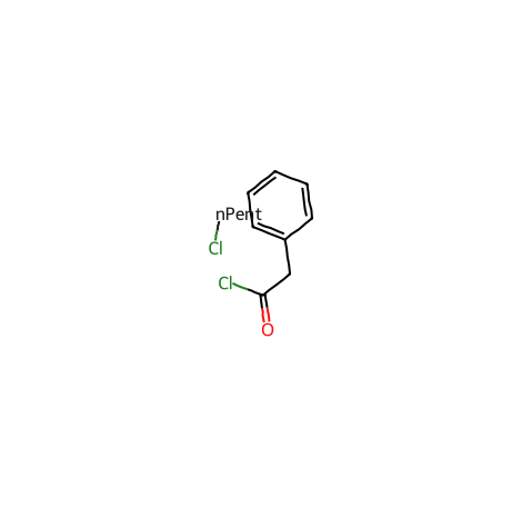 CCCCCCl.O=C(Cl)Cc1ccccc1